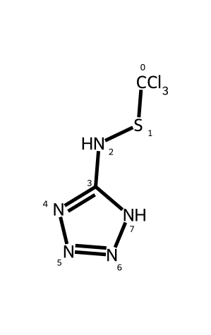 ClC(Cl)(Cl)SNc1nnn[nH]1